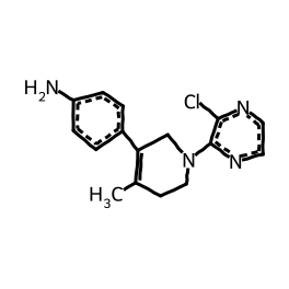 CC1=C(c2ccc(N)cc2)CN(c2nccnc2Cl)CC1